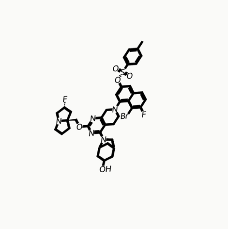 Cc1ccc(S(=O)(=O)Oc2cc(N3CCc4c(nc(OC[C@@]56CCCN5C[C@H](F)C6)nc4N4CC5CC(O)CC4C5)C3)c3c(Br)c(F)ccc3c2)cc1